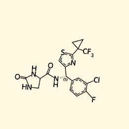 O=C1NCC(C(=O)N[C@@H](c2ccc(F)c(Cl)c2)c2csc(C3(C(F)(F)F)CC3)n2)N1